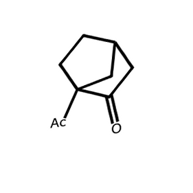 CC(=O)C12CCC(CC1=O)C2